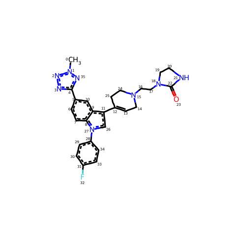 Cn1nnc(-c2ccc3c(c2)c(C2=CCN(CCN4CCNC4=O)CC2)cn3-c2ccc(F)cc2)n1